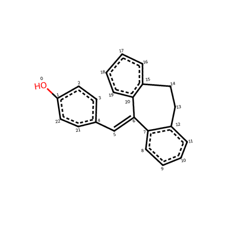 Oc1ccc(C=C2c3ccccc3CCc3ccccc32)cc1